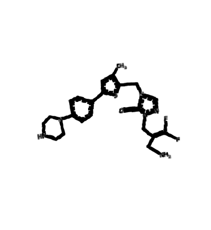 Cc1cc(-c2ccc(N3CCNCC3)cc2)sc1Cn1cnn(CC(CN)=C(F)F)c1=O